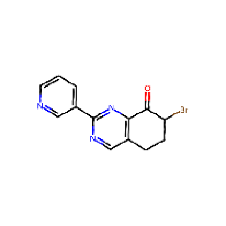 O=C1c2nc(-c3cccnc3)ncc2CCC1Br